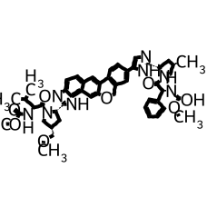 COC[C@H]1C[C@@H](c2nc3ccc4cc5c(cc4c3[nH]2)OCc2cc(-c3cnc([C@@H]4C[C@H](C)CN4C(=O)[C@H](NC(O)OC)c4ccccc4)[nH]3)ccc2-5)N(C(=O)[C@@H](NC(=O)OC)C(C)C)C1